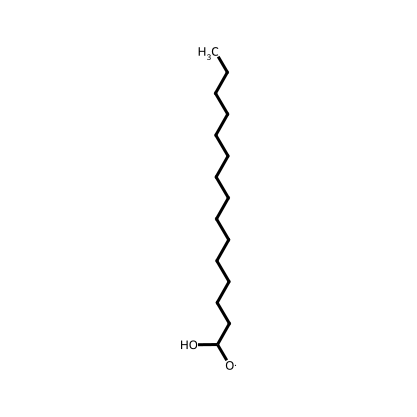 CCCCCCCCCCCCCCC([O])O